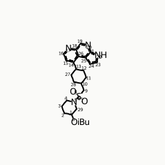 CC(C)COC1CCCN(S(=O)(=O)CC2CCC(c3ccnc4cnc5[nH]ccc5c34)CC2)C1